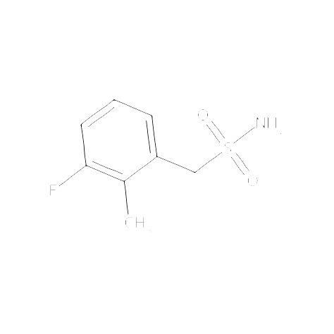 Cc1c(F)cccc1CS(N)(=O)=O